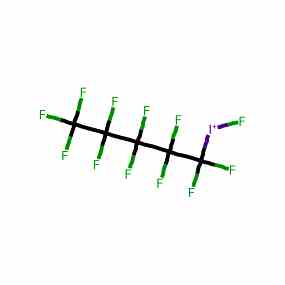 F[I+]C(F)(F)C(F)(F)C(F)(F)C(F)(F)C(F)(F)F